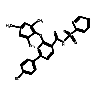 CCc1ccc(-c2ccc(C(=O)NS(=O)(=O)c3ccccn3)c(Oc3c(C)cc(C)cc3C)n2)cc1